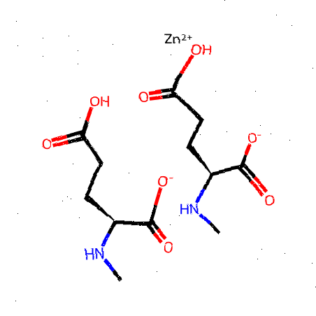 CN[C@@H](CCC(=O)O)C(=O)[O-].CN[C@@H](CCC(=O)O)C(=O)[O-].[Zn+2]